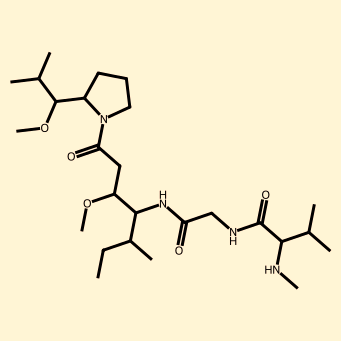 CCC(C)C(NC(=O)CNC(=O)C(NC)C(C)C)C(CC(=O)N1CCCC1C(OC)C(C)C)OC